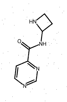 O=C(NC1CCN1)c1ccncn1